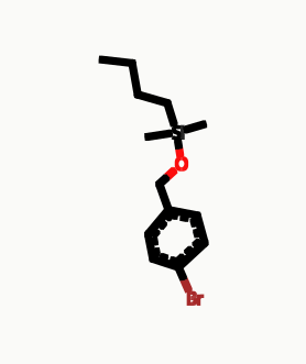 CCCC[Si](C)(C)OCc1ccc(Br)cc1